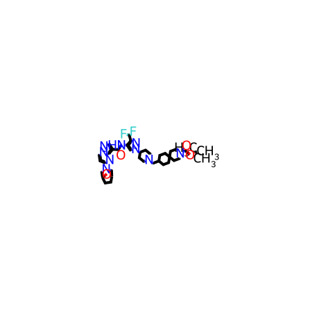 CC(C)(C)OC(=O)N1CCC2(CCC(CN3CCC(n4cc(NC(=O)c5cnn6ccc(N7CC8CCC(C7)O8)nc56)c(C(F)F)n4)CC3)CC2)CC1